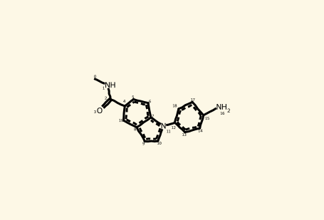 CNC(=O)c1ccc2c(ccn2-c2ccc(N)cc2)c1